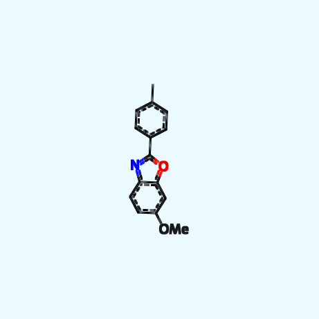 COc1ccc2nc(-c3ccc(C)cc3)oc2c1